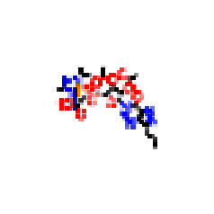 CCCc1nn(C)c2c(=O)n(C3OC(COC(C(=O)O)P(=O)(NC(C)C)NC(C)C)C(OC(C)=O)C3OC(C)=O)nnc12